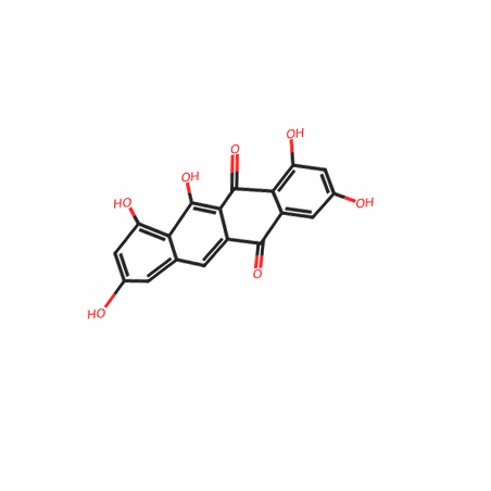 O=C1c2cc(O)cc(O)c2C(=O)c2c1cc1cc(O)cc(O)c1c2O